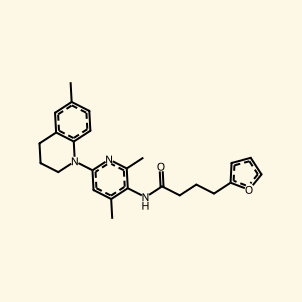 Cc1ccc2c(c1)CCCN2c1cc(C)c(NC(=O)CCCc2ccco2)c(C)n1